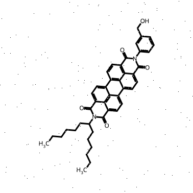 CCCCCCC(CCCCCC)N1C(=O)c2ccc3c4ccc5c6c(ccc(c7ccc(c2c37)C1=O)c64)C(=O)N(c1cccc(CO)c1)C5=O